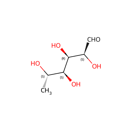 C[C@H](O)[C@H](O)[C@@H](O)[C@H](O)C=O